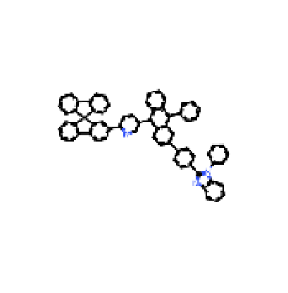 c1ccc(-c2c3ccccc3c(-c3ccc(-c4ccc5c(c4)C4(c6ccccc6-c6ccccc64)c4ccccc4-5)nc3)c3ccc(-c4ccc(-c5nc6ccccc6n5-c5ccccc5)cc4)cc23)cc1